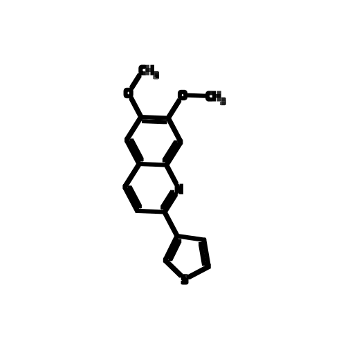 COc1cc2ccc(-c3ccsc3)nc2cc1OC